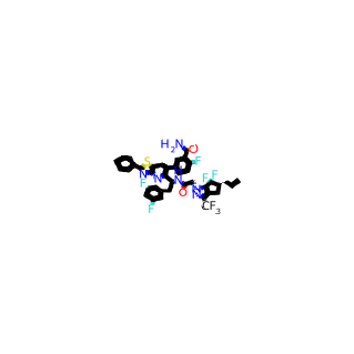 C=CC[C@@H]1Cc2c(C(F)(F)F)nn(CC(=O)NC(Cc3cc(F)cc(F)c3)c3nc4nc(-c5ccccc5)sc4cc3-c3ccc(F)c(C(N)=O)c3)c2C1(F)F